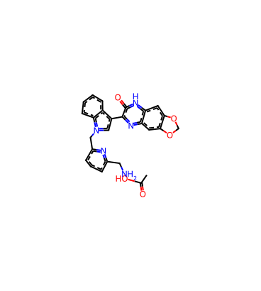 CC(=O)O.NCc1cccc(Cn2cc(-c3nc4cc5c(cc4[nH]c3=O)OCO5)c3ccccc32)n1